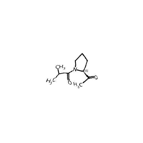 CC(=O)[C@@H]1CCCN1C(=O)C(C)C